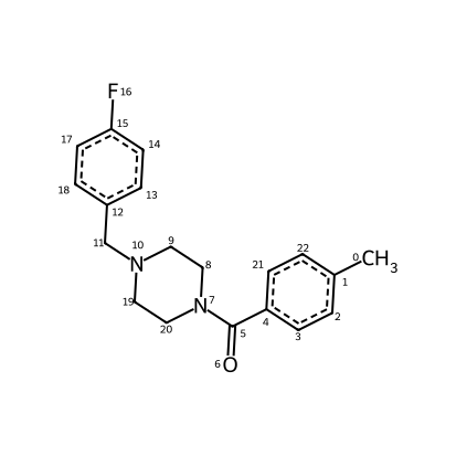 Cc1ccc(C(=O)N2CCN(Cc3ccc(F)cc3)CC2)cc1